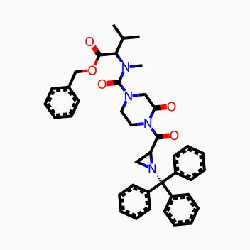 CC(C)C(C(=O)OCc1ccccc1)N(C)C(=O)N1CCN(C(=O)C2C[N@@]2C(c2ccccc2)(c2ccccc2)c2ccccc2)C(=O)C1